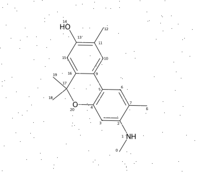 CNc1cc2c(cc1C)-c1cc(C)c(O)cc1C(C)(C)O2